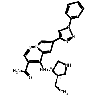 CC[C@@H]1CNC[C@H]1Nc1c(C(N)=O)cnn2cc(-c3cn(-c4ccccc4)nn3)cc12